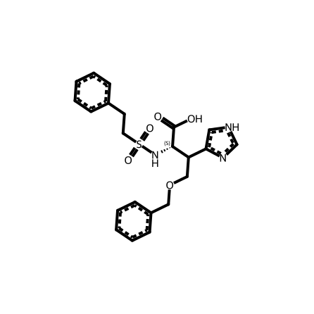 O=C(O)[C@@H](NS(=O)(=O)CCc1ccccc1)C(COCc1ccccc1)c1c[nH]cn1